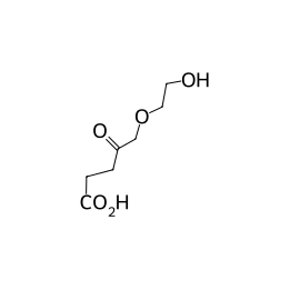 O=C(O)CCC(=O)COCCO